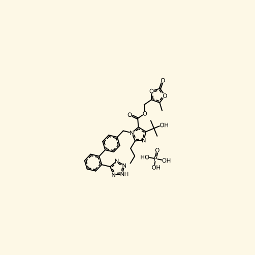 CCCc1nc(C(C)(C)O)c(C(=O)OCc2oc(=O)oc2C)n1Cc1ccc(-c2ccccc2-c2nn[nH]n2)cc1.O=P(O)(O)O